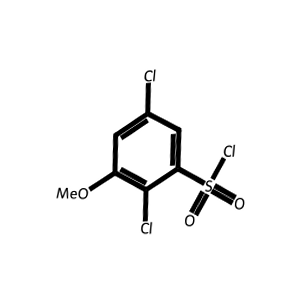 COc1cc(Cl)cc(S(=O)(=O)Cl)c1Cl